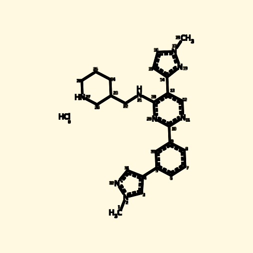 Cl.Cn1cc(-c2cccc(-c3ncc(-c4ccn(C)n4)c(NCC4CCCNC4)n3)c2)cn1